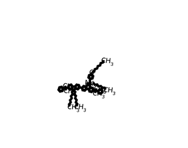 CCCCCCCCOc1ccc(-c2nc3c4cc(-c5ccc6c(c5)C(CCCCCCCC)(CCCCCCCC)c5cc(C(C)(C)c7ccccc7)ccc5-6)ccc4c4ccc(C(C)(C)c5ccccc5)cc4c3n2CCCCCCCC)cc1